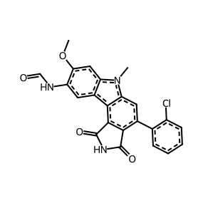 COc1cc2c(cc1NC=O)c1c3c(c(-c4ccccc4Cl)cc1n2C)C(=O)NC3=O